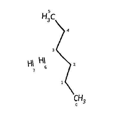 CCCCCC.I.I